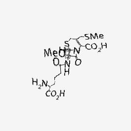 CO[C@@]1(NC(=O)CCCC(N)C(=O)O)C(=O)N2C(C(=O)O)=C(CSC)CS[C@H]21